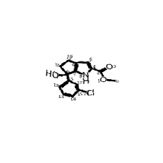 COC(=O)c1cc2c([nH]1)C(O)(c1cccc(Cl)c1)CC2